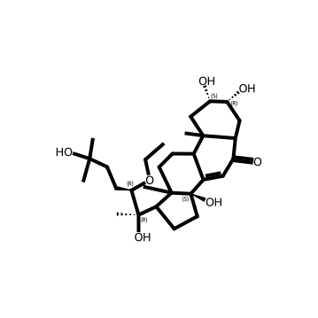 CCO[C@H](CCC(C)(C)O)[C@](C)(O)C1CC[C@@]2(O)C3=CC(=O)C4C[C@@H](O)[C@@H](O)CC4(C)C3CCC12C